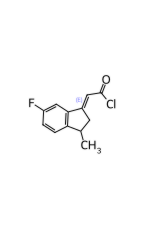 CC1C/C(=C\C(=O)Cl)c2cc(F)ccc21